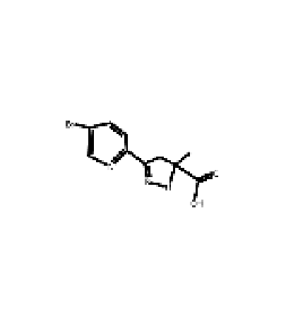 CC1(C(=O)O)CC(c2ccc(Br)cn2)=NO1